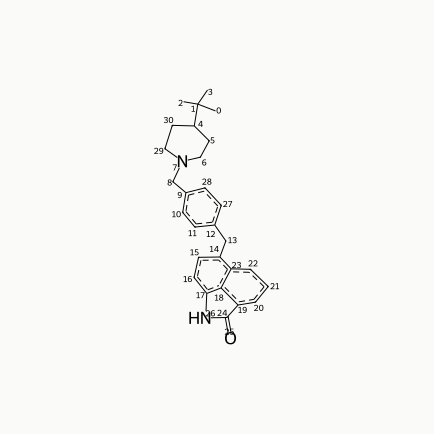 CC(C)(C)C1CCN(Cc2ccc(Cc3ccc4c5c(cccc35)C(=O)N4)cc2)CC1